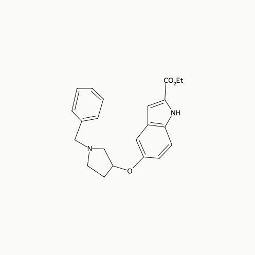 CCOC(=O)c1cc2cc(OC3CCN(Cc4ccccc4)C3)ccc2[nH]1